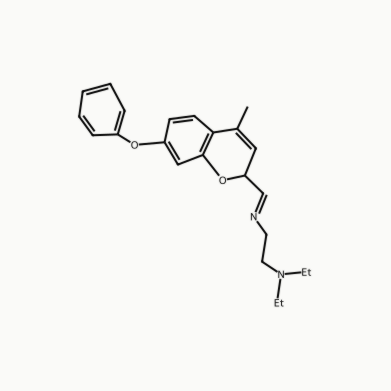 CCN(CC)CCN=CC1C=C(C)c2ccc(Oc3ccccc3)cc2O1